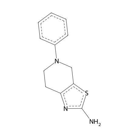 Nc1nc2c(s1)CN(c1ccccc1)CC2